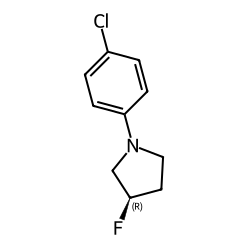 F[C@@H]1CCN(c2ccc(Cl)cc2)C1